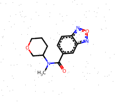 CN(C(=O)c1ccc2nonc2c1)C1CCCOC1